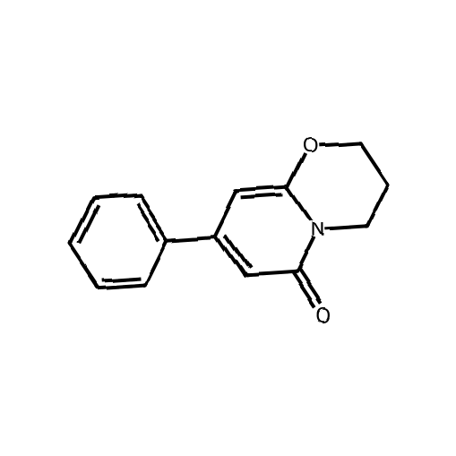 O=c1cc(-c2ccccc2)cc2n1CCCO2